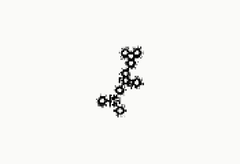 c1ccc(-c2nc(-c3ccccc3)nc(-c3ccc(-c4nc5ccc(-c6ccc7c8ccccc8c8ccccc8c7c6)cc5c5c4sc4ccccc45)cc3)n2)cc1